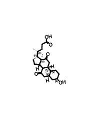 C[C@H](CCC(=O)O)[C@H]1CC[C@H]2C3C(=O)C[C@@H]4C[C@H](O)CC[C@]4(C)[C@H]3CC(=O)[C@]12C